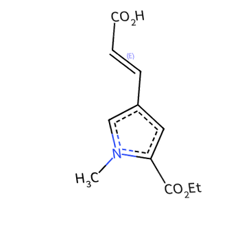 CCOC(=O)c1cc(/C=C/C(=O)O)cn1C